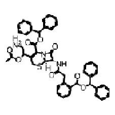 CC(=O)OC(CN)C1=C(C(=O)OC(c2ccccc2)c2ccccc2)N2C(=O)[C@H](NC(=O)Cc3ccccc3C(=O)OC(c3ccccc3)c3ccccc3)[C@H]2SC1